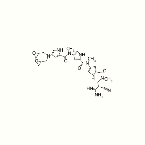 CN(CC(C#N)C(=N)N)C(=O)c1cc(N(C)C(=O)c2cc(N(C)C(=O)c3cc(N(CC4CO4)CC4CO4)c[nH]3)c[nH]2)c[nH]1